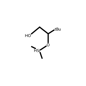 C[SiH](C)OC(CO)C(C)(C)C